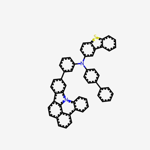 c1ccc(-c2ccc(N(c3cccc(-c4ccc5c6ccc7cccc8c9ccccc9n(c5c4)c6c78)c3)c3ccc4sc5ccccc5c4c3)cc2)cc1